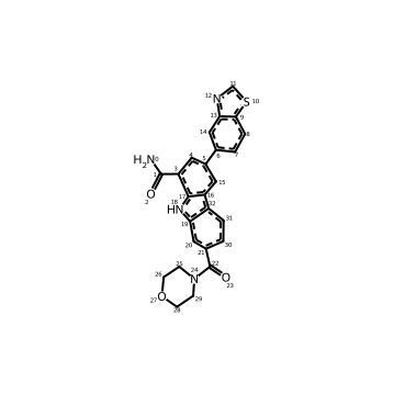 NC(=O)c1cc(-c2ccc3scnc3c2)cc2c1[nH]c1cc(C(=O)N3CCOCC3)ccc12